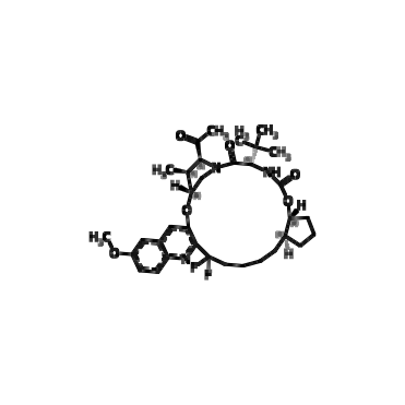 COc1ccc2nc3c(cc2c1)O[C@H]1CN(C(=O)[C@H](C(C)(C)C)NC(=O)O[C@@H]2CCC[C@H]2CCCCC3(F)F)[C@H](C(C)=O)[C@@H]1C